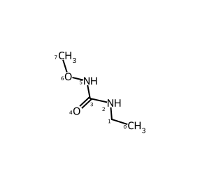 CCNC(=O)NOC